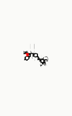 COc1cc(C(=O)NC2CCC(Nc3nc(N(C)C)c4cc(C)ccc4n3)CC2)cc(OC)c1OC